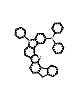 c1ccc(N(c2ccccc2)c2ccc3c(c2)c2c4oc5c6c(ccc5c4ccc2n3-c2ccccc2)Cc2ccccc2-6)cc1